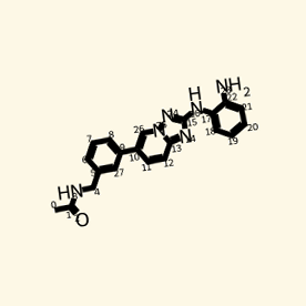 CC(=O)NCc1cccc(-c2ccc3nc(Nc4ccccc4N)nn3c2)c1